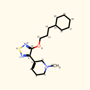 CN1CCC=C(c2nsnc2OCCCC2CCCCC2)C1